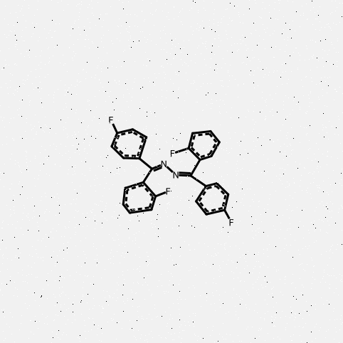 Fc1ccc(C(=NN=C(c2ccc(F)cc2)c2ccccc2F)c2ccccc2F)cc1